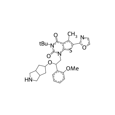 COc1ccccc1C(Cn1c(=O)n(C(C)(C)C)c(=O)c2c(C)c(-c3ncco3)sc21)OC1CC2CNCC2C1